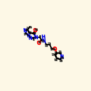 Cc1ncn2ncn(CC(=O)NCCCOc3cccnc3)c(=O)c12